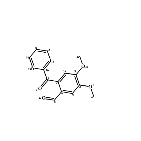 COc1cc(C=O)c(C(=O)c2ccccn2)cc1OC